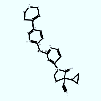 N#C[C@@]1(C2CC2)CCN(c2ccnc(Nc3ccc(C4=CCOCC4)cn3)c2)C1=O